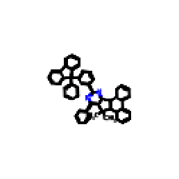 CC1(C)c2c(-c3ccccc3)nc(-c3cccc(C4(c5ccccc5)c5ccccc5-c5ccccc54)c3)nc2-c2c1c1ccccc1c1ccccc21